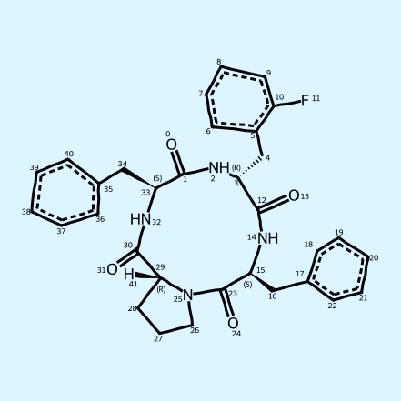 O=C1N[C@H](Cc2ccccc2F)C(=O)N[C@@H](Cc2ccccc2)C(=O)N2CCC[C@@H]2C(=O)N[C@H]1Cc1ccccc1